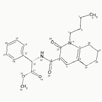 CCCCn1c2c(cc(C(=O)N[C@H](C(=O)OC)c3ccccc3)c1=O)CCCC2